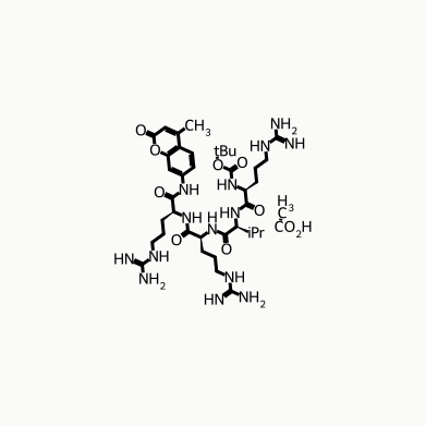 CC(=O)O.Cc1cc(=O)oc2cc(NC(=O)[C@H](CCCNC(=N)N)NC(=O)[C@H](CCCNC(=N)N)NC(=O)[C@@H](NC(=O)[C@H](CCCNC(=N)N)NC(=O)OC(C)(C)C)C(C)C)ccc12